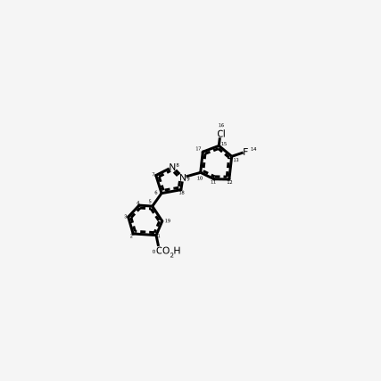 O=C(O)c1cccc(-c2cnn(-c3ccc(F)c(Cl)c3)c2)c1